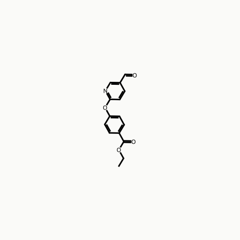 CCOC(=O)c1ccc(Oc2ccc(C=O)cn2)cc1